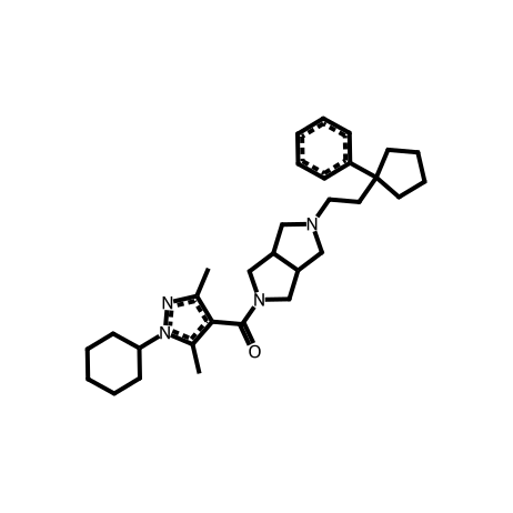 Cc1nn(C2CCCCC2)c(C)c1C(=O)N1CC2CN(CCC3(c4ccccc4)CCCC3)CC2C1